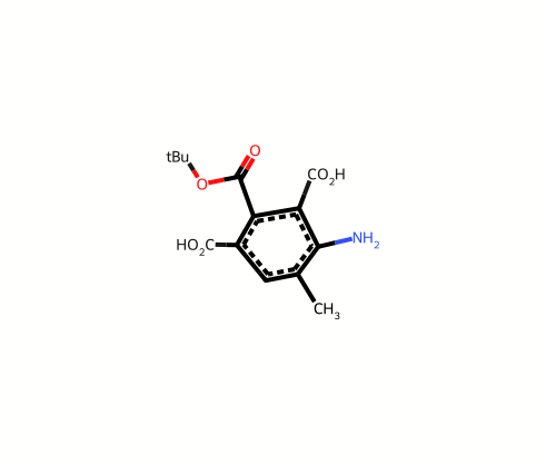 Cc1cc(C(=O)O)c(C(=O)OC(C)(C)C)c(C(=O)O)c1N